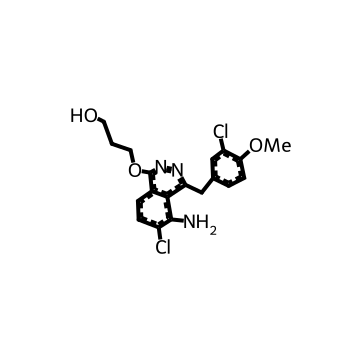 COc1ccc(Cc2nnc(OCCCO)c3ccc(Cl)c(N)c23)cc1Cl